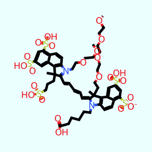 COCCOCCOCCOCCC1(C)\C(=C/C=C/C=C/C2=[N+](CCOCCOC)c3ccc4c(S(=O)(=O)O)cc(S(=O)(=O)O)cc4c3C2(C)CCCS(=O)(=O)O)N(CCCCCC(=O)O)c2ccc3c(S(=O)(=O)[O-])cc(S(=O)(=O)O)cc3c21